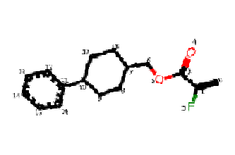 C=C(F)C(=O)OCC1CCC(c2ccccc2)CC1